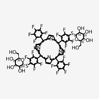 OC[C@H]1O[C@H](Sc2c(F)c(F)c(-c3c4nc(c(-c5c(F)c(F)c(F)c(F)c5F)c5ccc([nH]5)c(-c5c(F)c(F)c(S[C@H]6O[C@H](CO)[C@@H](O)[C@H](O)[C@@H]6O)c(F)c5F)c5nc(c(-c6c(F)c(F)c(F)c(F)c6F)c6ccc3[nH]6)C=C5)C=C4)c(F)c2F)[C@@H](O)[C@@H](O)[C@@H]1O